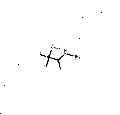 CNC(C)(C)C(C)NN